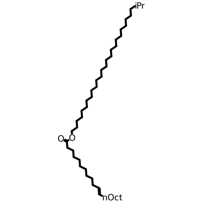 CCCCCCCCC=CCCCCCCCCCC(=O)OCCCCCCCCCCCCCCCCCCCCCCCCCC(C)C